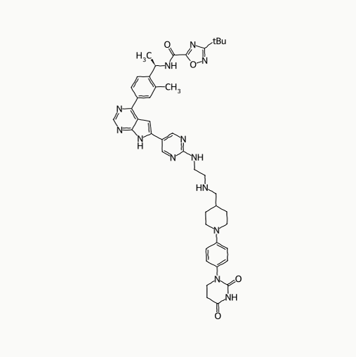 Cc1cc(-c2ncnc3[nH]c(-c4cnc(NCCNCC5CCN(c6ccc(N7CCC(=O)NC7=O)cc6)CC5)nc4)cc23)ccc1[C@@H](C)NC(=O)c1nc(C(C)(C)C)no1